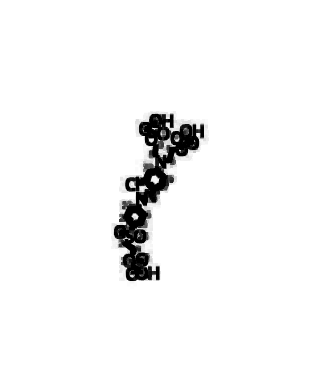 O=S(=O)(O)OCCN(CCOS(=O)(=O)O)c1ccc(/N=N/c2ccc(S(=O)(=O)CCOS(=O)(=O)O)cc2)c(Cl)c1